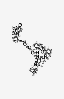 Cc1c(-c2ccc(N3CCc4cccc(C(=O)Nc5nc6ccccc6s5)c4C3)nc2C(=O)NCCOCCOCCOCC#Cc2cccc3c2CN(C2CCC(=O)NC2=O)C3=O)cnn1CC12CC3CC(CC(C3)C1)C2